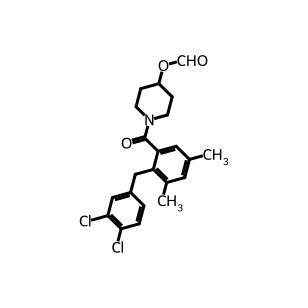 Cc1cc(C)c(Cc2ccc(Cl)c(Cl)c2)c(C(=O)N2CCC(OC=O)CC2)c1